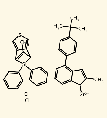 CC1=C2c3cscc3C1[Si]2(c1ccccc1)c1ccccc1.CC1=Cc2c(-c3ccc(C(C)(C)C)cc3)cccc2[CH]1[Zr+2].[Cl-].[Cl-]